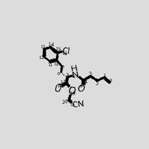 C=CCCC(=O)N[C@@H](CCc1ccccc1Cl)C(=O)OCC#N